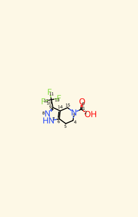 O=C(O)N1CCc2[nH]nc(C(F)(F)F)c2C1